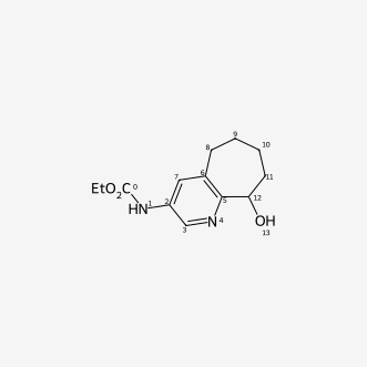 CCOC(=O)Nc1cnc2c(c1)CCCCC2O